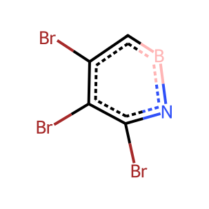 Brc1cbnc(Br)c1Br